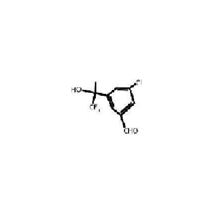 CC(O)(c1cc(Cl)cc(C=O)c1)C(F)(F)F